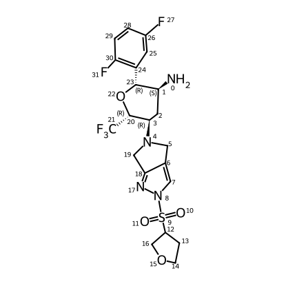 N[C@H]1C[C@@H](N2Cc3cn(S(=O)(=O)C4CCOC4)nc3C2)[C@H](C(F)(F)F)O[C@@H]1c1cc(F)ccc1F